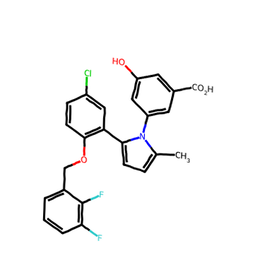 Cc1ccc(-c2cc(Cl)ccc2OCc2cccc(F)c2F)n1-c1cc(O)cc(C(=O)O)c1